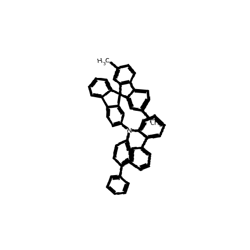 Cc1ccc2c(c1)C1(c3ccccc3-c3ccc(N(c4ccc(-c5ccccc5)cc4)c4ccccc4-c4ccccc4)cc31)c1cc(C)ccc1-2